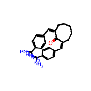 N=C(N)c1ccc(/C=C2/CCCCC/C(=C/c3ccc(C(=N)N)cc3)C2=O)cc1